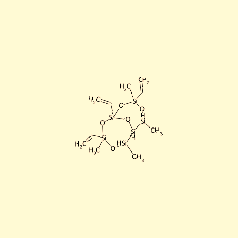 C=C[Si]1(C)O[SiH](C)[SiH]2O[Si](C=C)(O1)O[Si](C)(C=C)O[SiH]2C